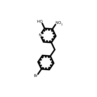 O=[N+]([O-])c1cc(Cc2ccc(Br)cc2)cnc1O